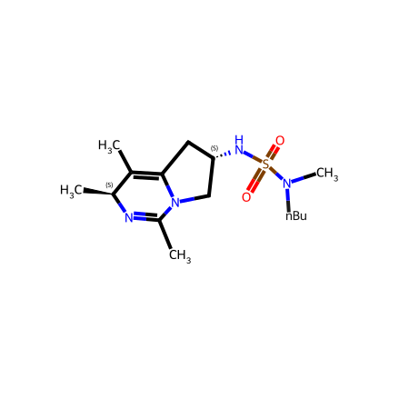 CCCCN(C)S(=O)(=O)N[C@H]1CC2=C(C)[C@H](C)N=C(C)N2C1